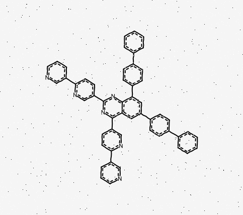 c1ccc(-c2ccc(-c3cc(-c4ccc(-c5ccccc5)cc4)c4nc(-c5ccc(-c6cccnc6)nc5)nc(-c5ccc(-c6cccnc6)nc5)c4c3)cc2)cc1